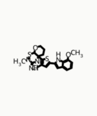 COc1cccc2cc(-c3cc(Cl)c(C45CCCOC4SN(C)C(=N)N5)s3)[nH]c12